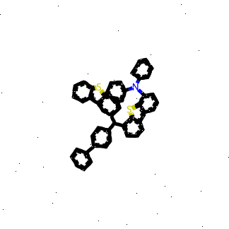 c1ccc(-c2ccc(C(c3ccc4sc5ccccc5c4c3)c3cccc4c3sc3c(N(c5ccccc5)c5ccccc5)cccc34)cc2)cc1